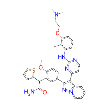 COc1ccc(-c2nn3ccccc3c2-c2ccnc(Nc3cccc(OCCN(C)C)c3C)n2)cc1C(C(N)=O)c1cccs1